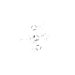 CC(C)(C)c1cc(Oc2ccccc2C(=O)O)c(C(C)(C)C)cc1Oc1ccccc1C(=O)O